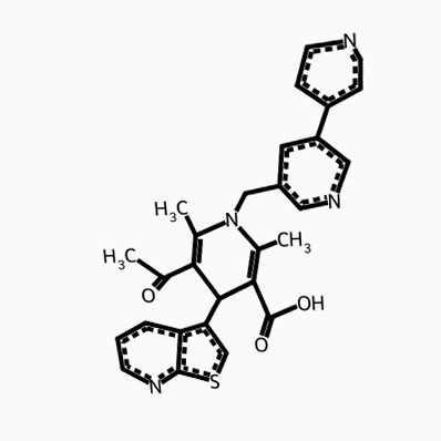 CC(=O)C1=C(C)N(Cc2cncc(-c3ccncc3)c2)C(C)=C(C(=O)O)C1c1csc2ncccc12